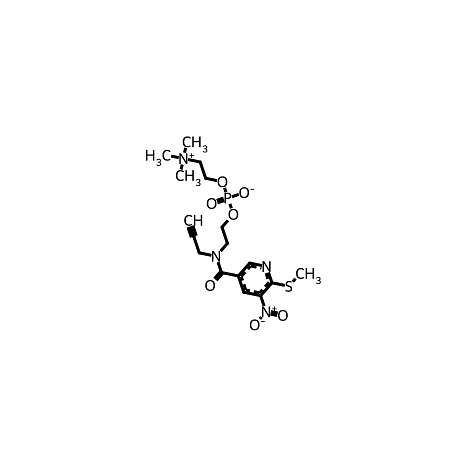 C#CCN(CCOP(=O)([O-])OCC[N+](C)(C)C)C(=O)c1cnc(SC)c([N+](=O)[O-])c1